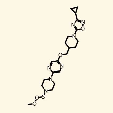 COOSN1CCN(c2cnc(OCC3CCN(c4nc(C5CC5)no4)CC3)cn2)CC1